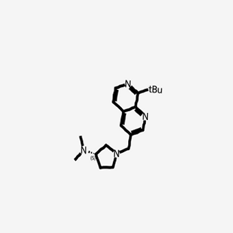 CN(C)[C@H]1CCN(Cc2cnc3c(C(C)(C)C)nccc3c2)C1